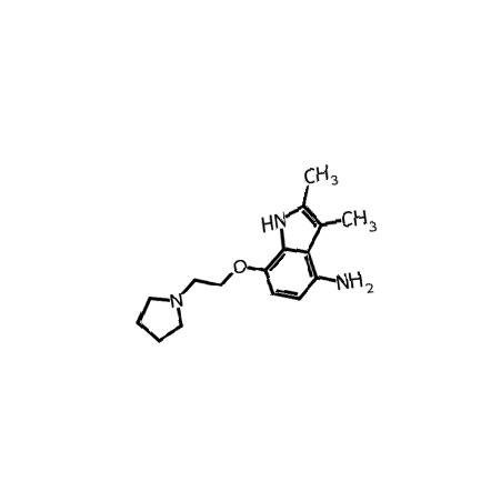 Cc1[nH]c2c(OCCN3CCCC3)ccc(N)c2c1C